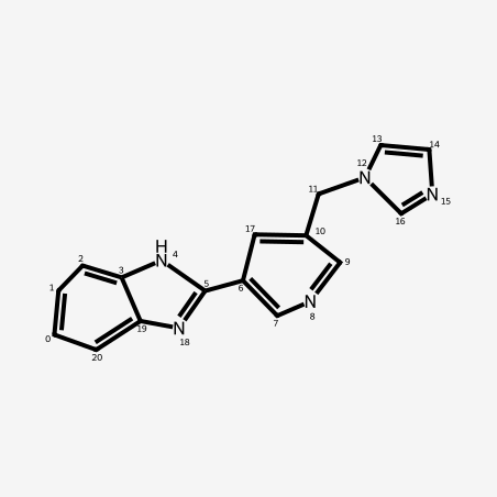 c1ccc2[nH]c(-c3cncc(Cn4ccnc4)c3)nc2c1